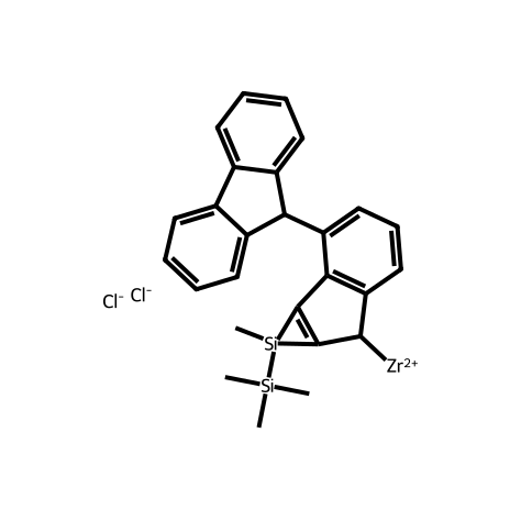 C[Si](C)(C)[Si]1(C)C2=C1[CH]([Zr+2])c1cccc(C3c4ccccc4-c4ccccc43)c12.[Cl-].[Cl-]